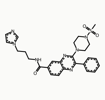 CS(=O)(=O)N1CCN(c2nc3cc(C(=O)NCCCn4ccnc4)ccc3nc2-c2ccccc2)CC1